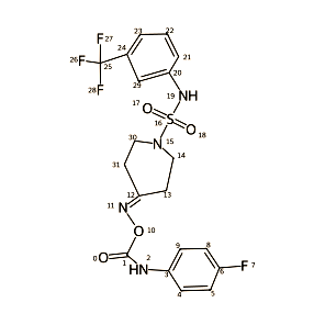 O=C(Nc1ccc(F)cc1)ON=C1CCN(S(=O)(=O)Nc2cccc(C(F)(F)F)c2)CC1